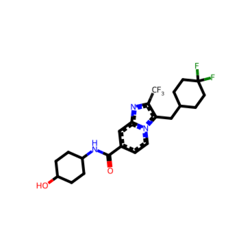 O=C(NC1CCC(O)CC1)c1ccn2c(CC3CCC(F)(F)CC3)c(C(F)(F)F)nc2c1